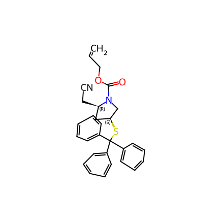 C=CCOC(=O)N1C[C@@H](SC(c2ccccc2)(c2ccccc2)c2ccccc2)C[C@H]1CC#N